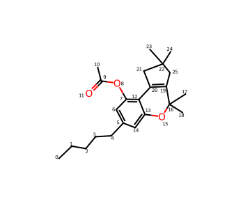 CCCCCc1cc(OC(C)=O)c2c(c1)OC(C)(C)C1=C2CC(C)(C)C1